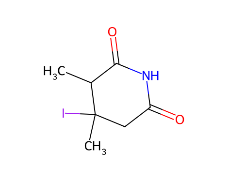 CC1C(=O)NC(=O)CC1(C)I